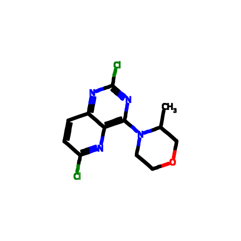 CC1COCCN1c1nc(Cl)nc2ccc(Cl)nc12